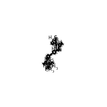 COC(=O)NC(C(=O)N1CC2(CC2)C[C@H]1c1ncc(-c2ccc(C#Cc3ccc4nc([C@@H]5CC6(CC6)CN5C(=O)[C@](C)(NC(=O)OC)c5cccs5)[nH]c4c3)cc2)[nH]1)c1cccs1